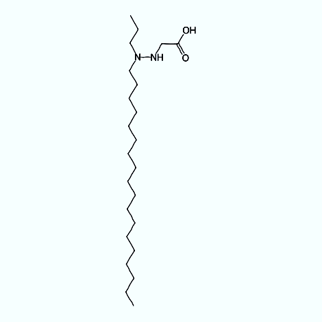 CCCCCCCCCCCCCCCCCCN(CCC)NCC(=O)O